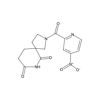 O=C1CCC2(CCN(C(=O)c3cc([N+](=O)[O-])ccn3)C2)C(=O)N1